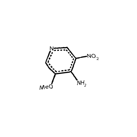 COc1cncc([N+](=O)[O-])c1N